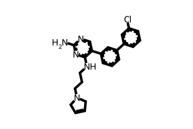 Nc1ncc(-c2cccc(-c3cccc(Cl)c3)c2)c(NCCCN2CC=CC2)n1